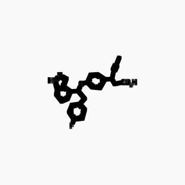 CC#CC(CC(=O)O)c1ccc(OC(Cc2ccc(F)cc2)c2cccc3[nH]ncc23)cc1